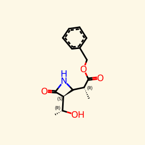 C[C@@H](C(=O)OCc1ccccc1)C1NC(=O)[C@@H]1[C@@H](C)O